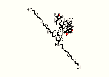 O=C(CN(CC(=O)NCCOCCOCCOCCO)C(=O)COCC(COC(C(F)(F)F)(C(F)(F)F)C(F)(F)F)(COC(C(F)(F)F)(C(F)(F)F)C(F)(F)F)COC(C(F)(F)F)(C(F)(F)F)C(F)(F)F)NCCOCCOCCOCCO